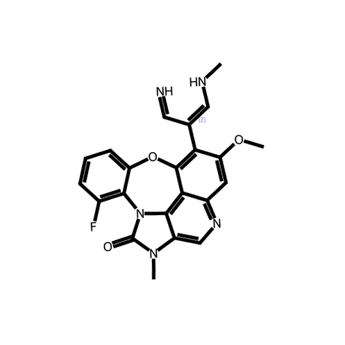 CN/C=C(\C=N)c1c(OC)cc2ncc3c4c2c1oc1cccc(F)c1n4c(=O)n3C